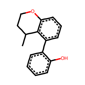 CC1CCOc2cccc(-c3ccccc3O)c21